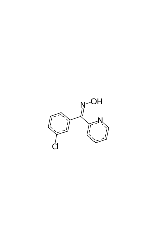 ON=C(c1cccc(Cl)c1)c1ccccn1